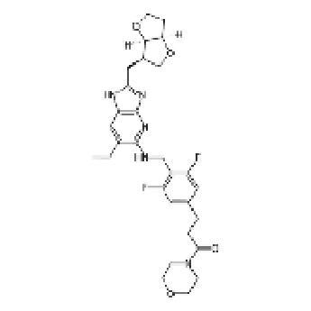 CCc1cc2[nH]c(C[C@@H]3CO[C@@H]4CCO[C@H]34)nc2nc1NCc1c(F)cc(CCC(=O)N2CCOCC2)cc1F